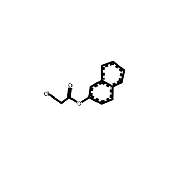 O=C(CCl)Oc1ccc2ccccc2c1